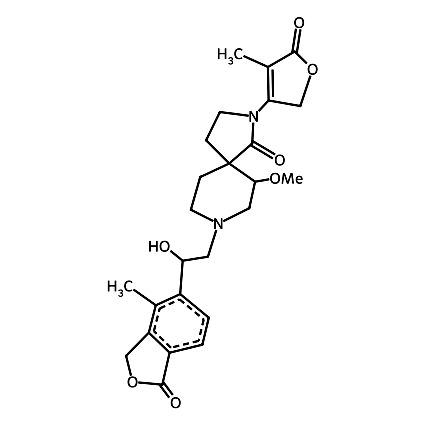 COC1CN(CC(O)c2ccc3c(c2C)COC3=O)CCC12CCN(C1=C(C)C(=O)OC1)C2=O